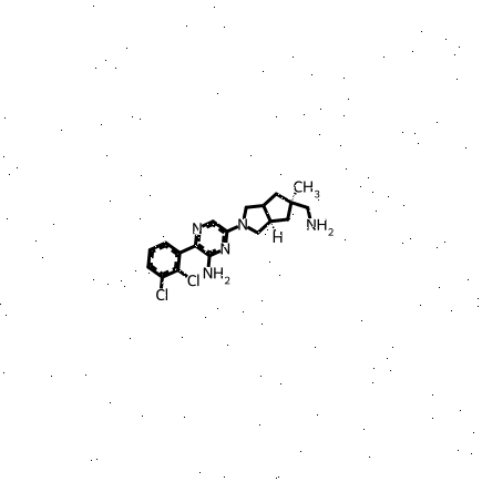 C[C@@]1(CN)CC2CN(c3cnc(-c4cccc(Cl)c4Cl)c(N)n3)C[C@@H]2C1